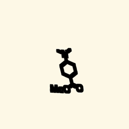 COC(=O)C1CCC(N(C)C)CC1